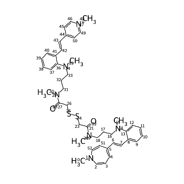 CN1C=CC=C(/C=C/c2ccccc2N(C)CCCN(C)C(=O)CSSCC(=O)N(C)CCCN(C)c2ccccc2/C=C/c2cc[n+](C)cc2)C=C1